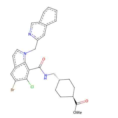 COC(=O)[C@H]1CC[C@H](CNC(=O)c2c(Cl)c(Br)cc3ccn(Cc4cc5ccccc5cn4)c23)CC1